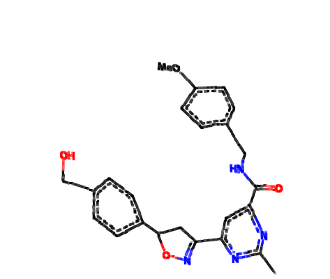 COc1ccc(CNC(=O)c2cc(C3=NOC(c4ccc(CO)cc4)C3)nc(C)n2)cc1